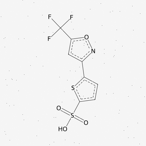 O=S(=O)(O)c1ccc(-c2cc(C(F)(F)F)on2)s1